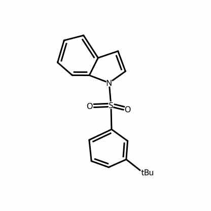 CC(C)(C)c1cccc(S(=O)(=O)n2ccc3ccccc32)c1